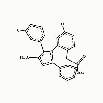 CNC(=O)Cc1ccc(Cl)cc1-n1c(-c2ccccc2)cc(C(=O)O)c1-c1cccc(Cl)c1